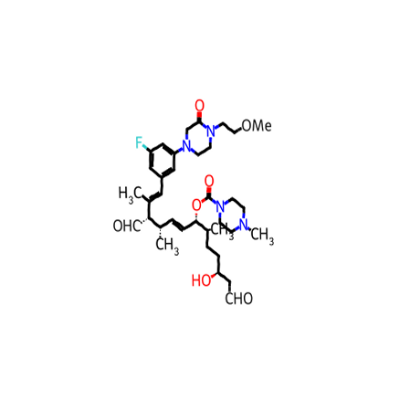 COCCN1CCN(c2cc(F)cc(/C=C(\C)[C@@H](C=O)[C@@H](C)/C=C/[C@H](OC(=O)N3CCN(C)CC3)[C@H](C)CC[C@H](O)CC=O)c2)CC1=O